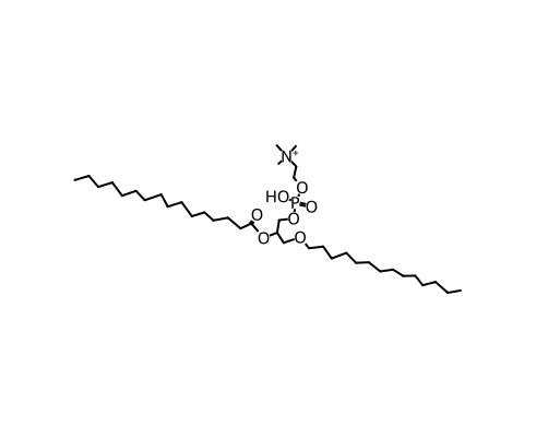 CCCCCCCCCCCCCCCC(=O)OC(COCCCCCCCCCCCCCC)COP(=O)(O)OCC[N+](C)(C)C